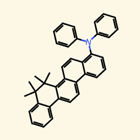 CC1(C)c2ccccc2-c2ccc3c(ccc4c(N(c5ccccc5)c5ccccc5)cccc43)c2C1(C)C